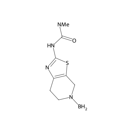 BN1CCc2nc(NC(=O)NC)sc2C1